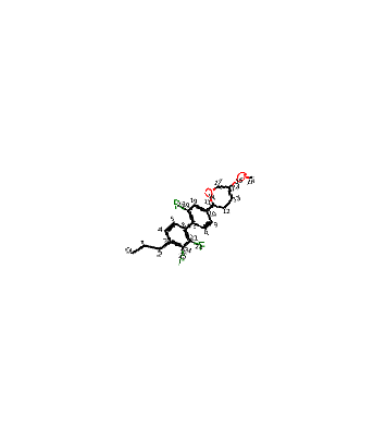 CCCc1ccc(-c2ccc(C3CCC(OC)CO3)cc2F)c(F)c1F